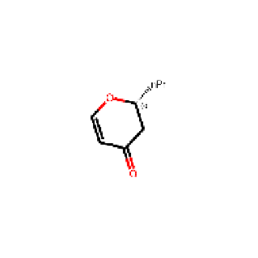 CCC[C@@H]1CC(=O)C=CO1